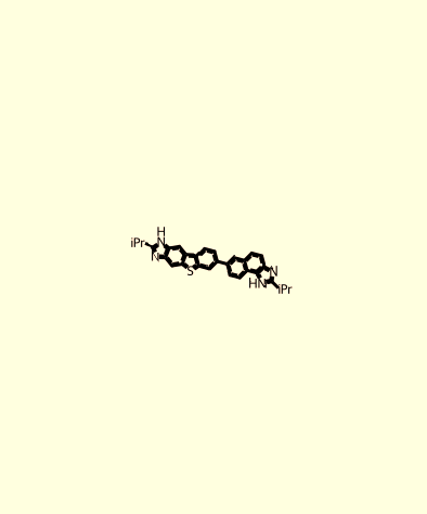 CC(C)c1nc2cc3sc4cc(-c5ccc6c(ccc7nc(C(C)C)[nH]c76)c5)ccc4c3cc2[nH]1